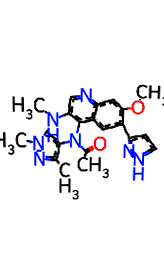 CNc1cnc2cc(OC)c(-c3cc[nH]n3)cc2c1N(C(C)=O)c1cn(C)nc1C